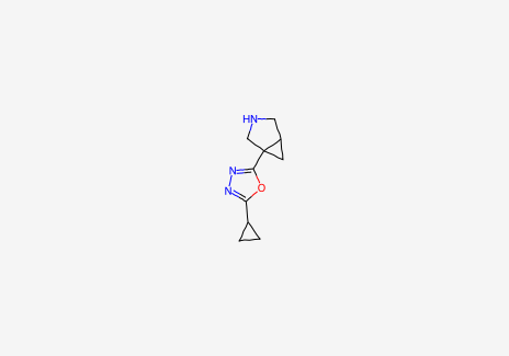 C1CC1c1nnc(C23CNCC2C3)o1